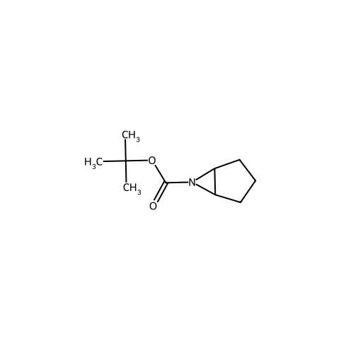 CC(C)(C)OC(=O)N1C2CCCC21